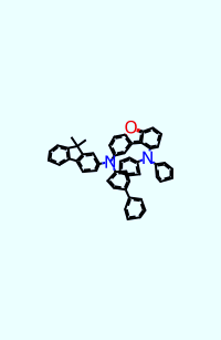 CC1(C)c2ccccc2-c2ccc(N(c3ccc(-c4ccccc4)cc3)c3ccc4oc5cccc(N(c6ccccc6)c6ccccc6)c5c4c3)cc21